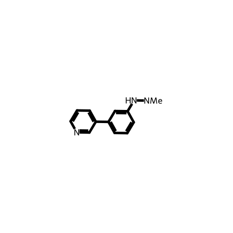 CNNc1cccc(-c2cccnc2)c1